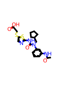 CC(=O)Nc1cccc(N(CC2CCCC2)C(=O)Nc2ncc(SCC(=O)O)s2)c1